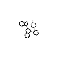 c1ccc(N2CCNCC2)c(-c2cc(-c3cnn4cccnc34)nc3ccccc23)c1